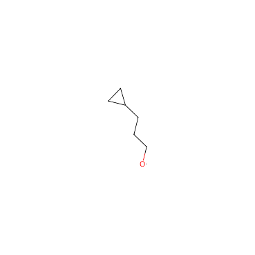 [O]CCCC1CC1